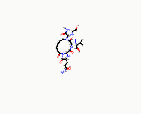 CNC(=O)[C@H](NCC=O)N1C/C=C\CCC(=O)N[C@@H](N[C@H](C=O)CCC(N)=O)C(=O)N[C@@H](N[C@H](C=O)C(C)C)C1=O